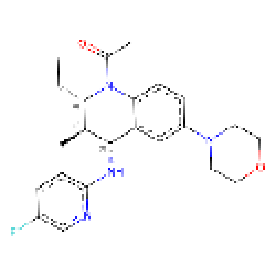 CC[C@H]1[C@H](C)[C@@H](Nc2ccc(F)cn2)c2cc(N3CCOCC3)ccc2N1C(C)=O